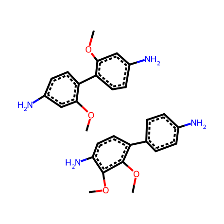 COc1c(N)ccc(-c2ccc(N)cc2)c1OC.COc1cc(N)ccc1-c1ccc(N)cc1OC